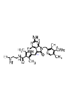 CCN(CC)CCNC(=O)c1c(C)[nH]c(/C=C2/C(=O)N(Cc3ncc(C)c(OC)c3C)c3nc(N)nc(Cl)c32)c1C